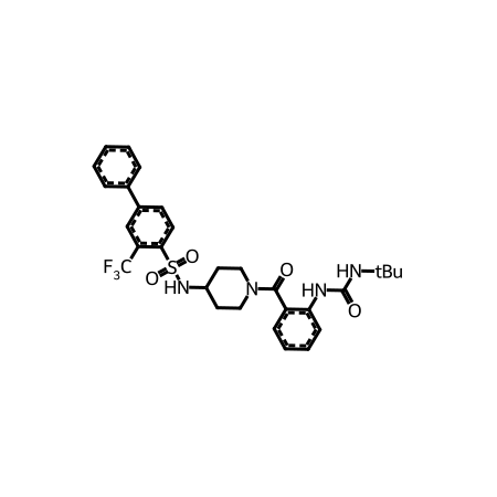 CC(C)(C)NC(=O)Nc1ccccc1C(=O)N1CCC(NS(=O)(=O)c2ccc(-c3ccccc3)cc2C(F)(F)F)CC1